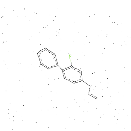 C=C[CH]c1ccc(-c2ccccc2)c(F)c1